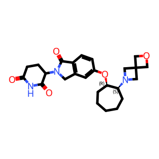 O=C1CCC(N2Cc3cc(O[C@@H]4CCCCC[C@@H]4N4CC5(COC5)C4)ccc3C2=O)C(=O)N1